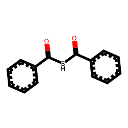 O=C(BC(=O)c1ccccc1)c1ccccc1